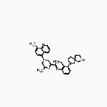 Cc1ccc(N2CC(C)OC(C3=Nc4cccc(N5CCC6(CCNC6)C5)c4CN3)C2)c2cccnc12